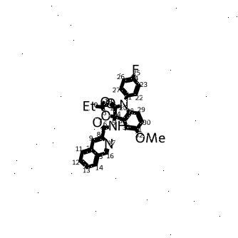 CCC(=O)OC1(NC(=O)c2cc3ccccc3cn2)C(=O)N(c2ccc(F)cc2)c2ccc(OC)cc21